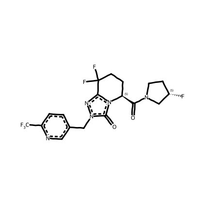 O=C([C@@H]1CCC(F)(F)c2nn(Cc3ccc(C(F)(F)F)nc3)c(=O)n21)N1CC[C@H](F)C1